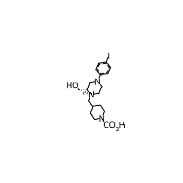 O=C(O)N1CCC(CN2CCN(c3ccc(I)cc3)C[C@H]2CO)CC1